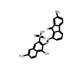 Nc1ccc2c(c1)C(=O)c1c(N=Nc3c(S(=O)(=O)O)cc4cc(N)ccc4c3O)cccc1-2